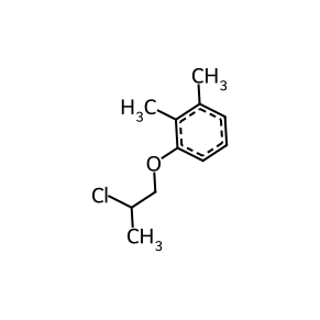 Cc1cccc(OCC(C)Cl)c1C